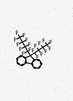 FC(F)(F)C(F)(F)C(F)(F)C(F)(F)C1(C(F)(F)C(F)(F)C(F)(F)C(F)(F)F)c2ccccc2-c2ccccc21